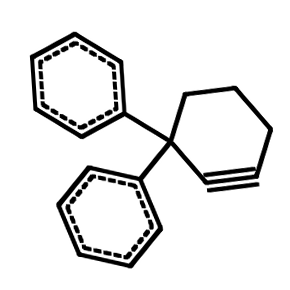 C1#CC(c2ccccc2)(c2ccccc2)CCC1